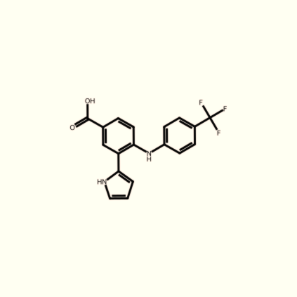 O=C(O)c1ccc(Nc2ccc(C(F)(F)F)cc2)c(-c2ccc[nH]2)c1